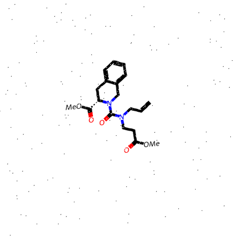 C=CCN(CCC(=O)OC)C(=O)N1Cc2ccccc2C[C@H]1C(=O)OC